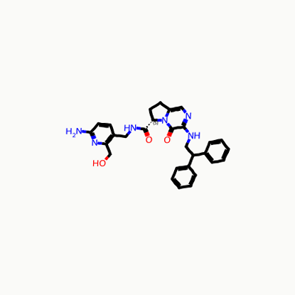 Nc1ccc(CNC(=O)[C@@H]2CCc3cnc(NCC(c4ccccc4)c4ccccc4)c(=O)n32)c(CO)n1